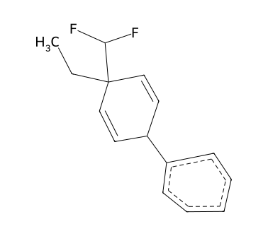 CCC1(C(F)F)C=CC(c2ccccc2)C=C1